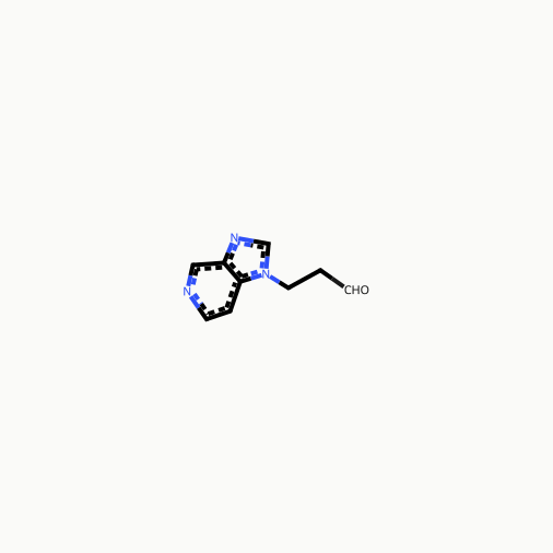 O=CCCn1cnc2cnccc21